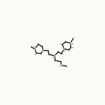 COCCN(CCN1CCN(C)CC1)CCN1CCN(C)CC1